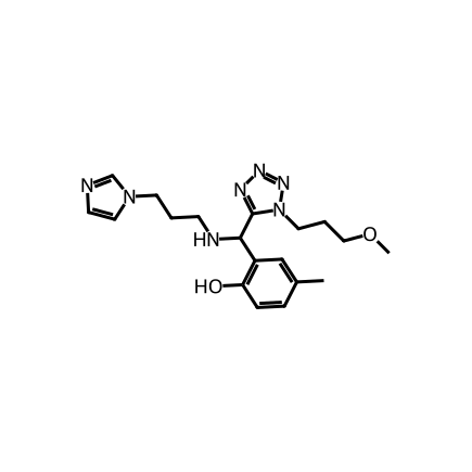 COCCCn1nnnc1C(NCCCn1ccnc1)c1cc(C)ccc1O